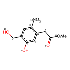 COC(=O)Cc1cc(O)c(CO)cc1[N+](=O)[O-]